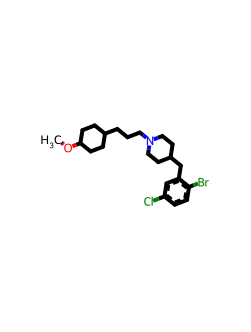 COC1CCC(CCCN2CCC(Cc3cc(Cl)ccc3Br)CC2)CC1